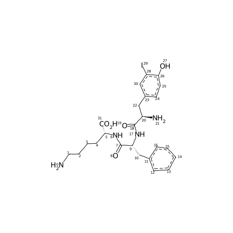 NCCCC[C@@H](NC(=O)[C@@H](Cc1ccccc1)NC(=O)[C@H](N)Cc1ccc(O)c(I)c1)C(=O)O